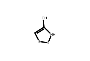 OC1=CSSN1